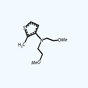 COCCN(CCOC)c1ccsc1C